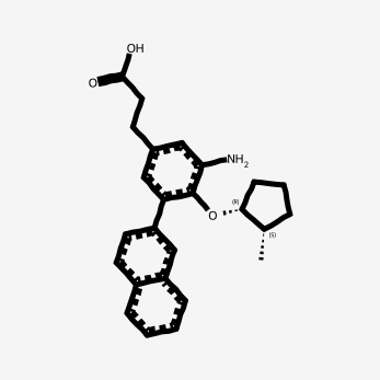 C[C@H]1CCC[C@H]1Oc1c(N)cc(CCC(=O)O)cc1-c1ccc2ccccc2c1